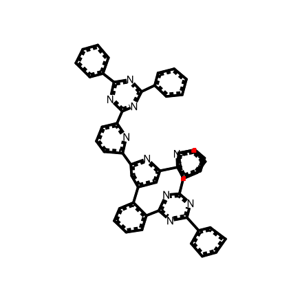 c1ccc(-c2nc(-c3ccccc3)nc(-c3cccc(-c4cc(-c5ccccc5-c5nc(-c6ccccc6)nc(-c6ccccc6)n5)cc(-c5ccccn5)n4)n3)n2)cc1